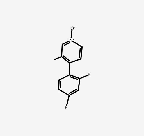 Cc1c[n+]([O-])ccc1-c1ccc(F)cc1F